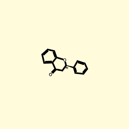 O=C1C[C@H](c2ccccc2)Oc2ccccc21